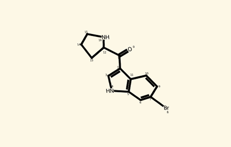 O=C(c1c[nH]c2cc(Br)ccc12)C1CCCN1